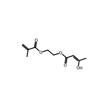 C=C(C)C(=O)OCCOC(=O)C=C(C)O